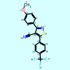 COc1ccc(-c2nsc(-c3ccc(C(F)(F)F)cc3)c2C#N)cc1